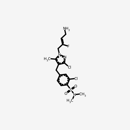 Cc1c(Cc2ccc(S(=O)(=O)N(C)C)c(Cl)c2)c(Cl)nn1CC(F)=CCN